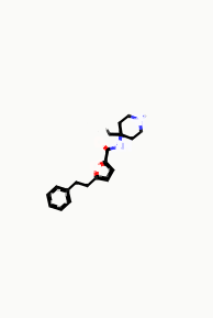 CCOC(=O)CC1(NC(=O)c2ccc(CCc3ccccc3)o2)CCN(C)CC1